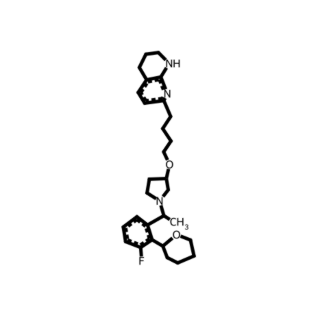 CC(c1cccc(F)c1C1CCCCO1)N1CCC(OCCCCc2ccc3c(n2)NCCC3)C1